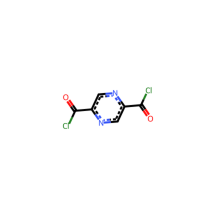 O=C(Cl)c1cnc(C(=O)Cl)cn1